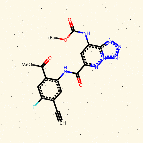 C#Cc1cc(NC(=O)c2cc(NC(=O)OC(C)(C)C)c3nnnn3n2)c(C(=O)OC)cc1F